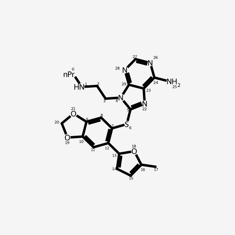 CCCNCCn1c(Sc2cc3c(cc2-c2ccc(C)o2)OCO3)nc2c(N)ncnc21